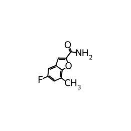 Cc1cc(F)cc2cc(C(N)=O)oc12